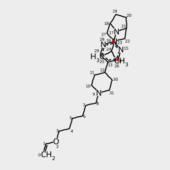 C=COCCCCCCN1CCC(c2cnc(N3C4CCC3CN(C(C)C)C4)nc2)CC1